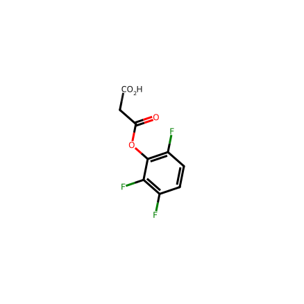 O=C(O)CC(=O)Oc1c(F)ccc(F)c1F